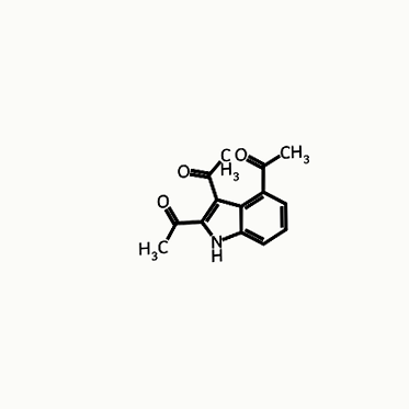 CC(=O)c1[nH]c2cccc(C(C)=O)c2c1C(C)=O